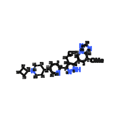 COc1cc(-c2[nH]nc(-c3ccc(C4CCN(C5CCC5)CC4)cn3)c2CC(F)(F)F)cn2ncnc12